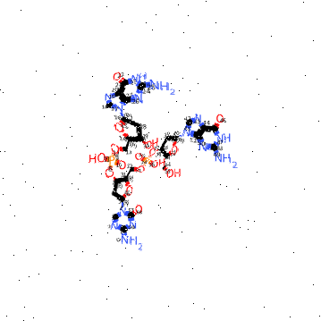 Nc1ncn([C@H]2C[C@@H](OP(=O)(O)OC[C@H]3O[C@@H](n4cnc5c(=O)[nH]c(N)nc54)C[C@H]3O)[C@@H](COP(=O)(O)O[C@@H]3C[C@H](n4cnc5c(=O)[nH]c(N)nc54)O[C@@H]3CO)O2)c(=O)n1